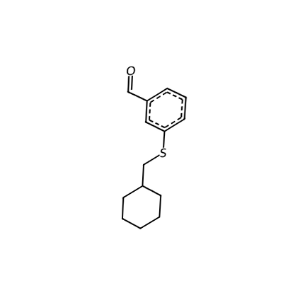 O=Cc1cccc(SCC2CCCCC2)c1